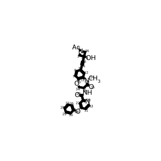 CC(=O)N1CC(O)(C#Cc2ccc3c(c2)N(C)C(=O)[C@H](NC(=O)c2cc(Oc4ccccc4)ccn2)CO3)C1